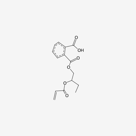 C=CC(=O)OC(CC)COC(=O)c1ccccc1C(=O)O